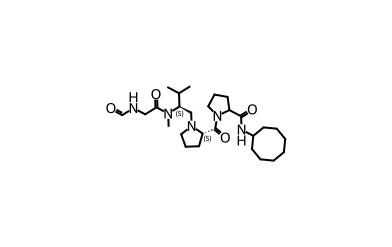 CC(C)[C@@H](CN1CCC[C@H]1C(=O)N1CCCC1C(=O)NC1CCCCCCC1)N(C)C(=O)CNC=O